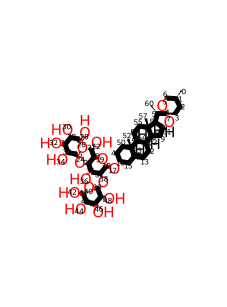 C[C@@H]1CC[C@@]2(OC1)O[C@H]1C[C@H]3[C@@H]4CC=C5CC(O[C@@H]6OC(CO)[C@@H](O[C@@H]7OC(O)[C@H](O)C(O)[C@@H]7O)C(O)[C@@H]6O[C@@H]6OC(O)[C@H](O)C(O)[C@@H]6O)CC[C@]5(C)[C@H]4CC[C@]3(C)[C@H]1[C@@H]2C